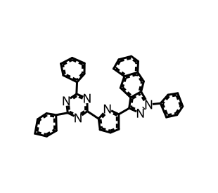 c1ccc(-c2nc(-c3ccccc3)nc(-c3cccc(-c4nn(-c5ccccc5)c5cc6ccccc6cc45)n3)n2)cc1